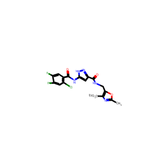 CCOC(=O)c1nc(C)oc1CNC(=O)c1cc(NC(=O)c2cc(F)c(F)cc2Cl)[nH]n1